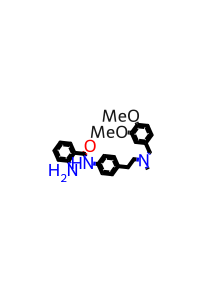 COc1ccc(CN(C)CCc2ccc(NC(=O)c3ccccc3N)cc2)cc1OC